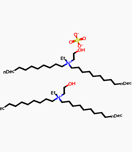 CCCCCCCCCCCCCCCCCCC[N+](CC)(CCO)CCCCCCCCCCCCCCCCCC.CCCCCCCCCCCCCCCCCCC[N+](CC)(CCO)CCCCCCCCCCCCCCCCCC.O=S(=O)([O-])[O-]